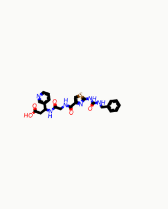 O=C(O)CC(NC(=O)CNC(=O)c1csc(NC(=O)NCc2ccccc2)n1)c1cccnc1